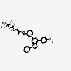 COc1ccc(-c2nc(N3CCCC(CNC(=O)CNC(=O)OC(C)(C)C)C3)nc3c2ncn3C2CCCCO2)cc1